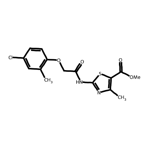 COC(=O)c1sc(NC(=O)COc2ccc(Cl)cc2C)nc1C